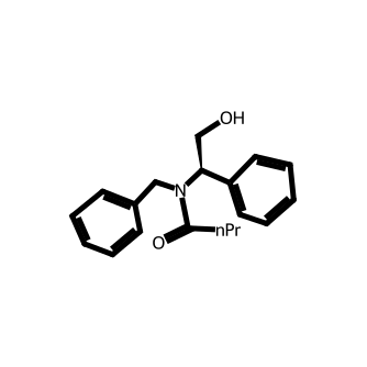 CCCC(=O)N(Cc1ccccc1)[C@@H](CO)c1ccccc1